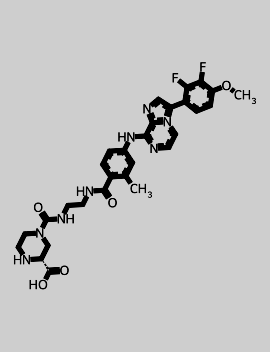 COc1ccc(-c2cnc3c(Nc4ccc(C(=O)NCCNC(=O)N5CCN[C@@H](C(=O)O)C5)c(C)c4)nccn23)c(F)c1F